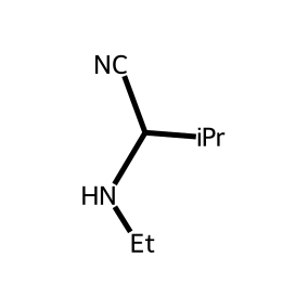 CCNC(C#N)C(C)C